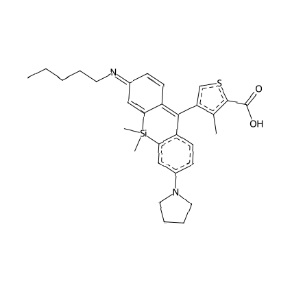 CCCCC/N=C1/C=CC2=C(c3csc(C(=O)O)c3C)c3ccc(N4CCCC4)cc3[Si](C)(C)C2=C1